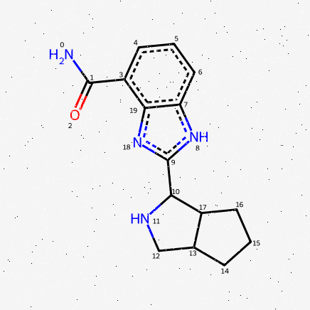 NC(=O)c1cccc2[nH]c(C3NCC4CCCC43)nc12